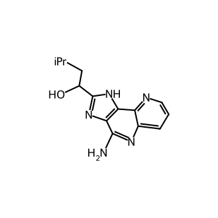 CC(C)CC(O)c1nc2c(N)nc3cccnc3c2[nH]1